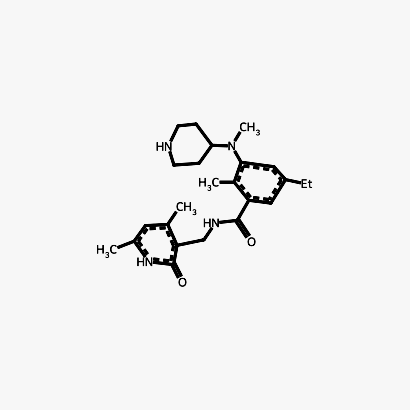 CCc1cc(C(=O)NCc2c(C)cc(C)[nH]c2=O)c(C)c(N(C)C2CCNCC2)c1